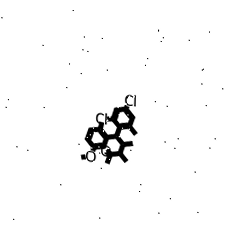 COc1ccc(C)c(C(c2c(C)cc(Cl)cc2Cl)C(C)C(C)C(C)=O)c1